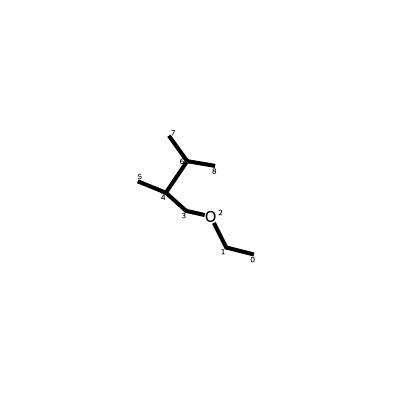 CCOC[C](C)C(C)C